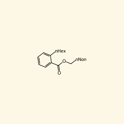 CCCCCCCCCCOC(=O)c1ccccc1CCCCCC